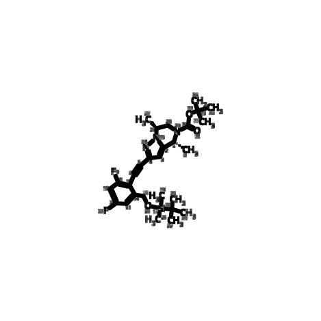 C[C@@H]1c2cc(C#Cc3c(F)cc(F)cc3CO[Si](C)(C)C(C)(C)C)nn2[C@@H](C)CN1C(=O)OC(C)(C)C